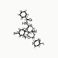 Cc1ccnc([C@H]2C[C@H]3CSC(NC(=O)c4ccccc4)=N[C@@]3(c3ccc(F)cc3F)CO2)n1